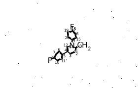 C=C1C=CC(c2ccc(F)cc2)=CN1c1ccc(F)cc1